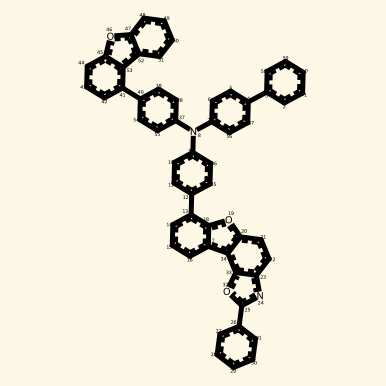 c1ccc(-c2ccc(N(c3ccc(-c4cccc5c4oc4ccc6nc(-c7ccccc7)oc6c45)cc3)c3ccc(-c4cccc5oc6ccccc6c45)cc3)cc2)cc1